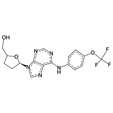 OCC1CC[C@H](n2cnc3c(Nc4ccc(OC(F)(F)F)cc4)ncnc32)O1